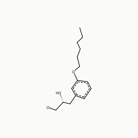 CCCCCCOc1cccc(C[C@@H](O)CCl)c1